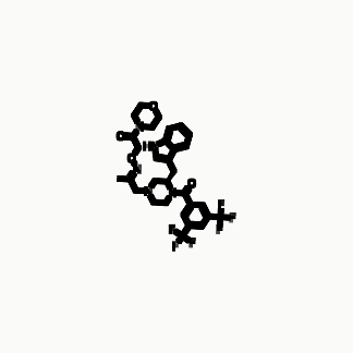 CC(CN1CCN(C(=O)c2cc(C(F)(F)F)cc(C(F)(F)F)c2)[C@H](Cc2c[nH]c3ccccc23)C1)=NOCC(=O)N1CCOCC1